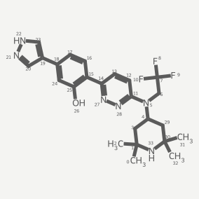 CC1(C)CC(N(CC(F)(F)F)c2ccc(-c3ccc(-c4cn[nH]c4)cc3O)nn2)CC(C)(C)N1